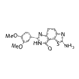 COc1ccc(-c2nc3ccc4nc(N)sc4c3c(=O)[nH]2)cc1OC